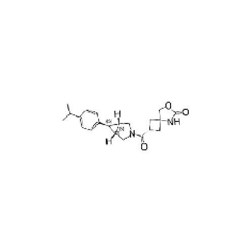 CC(C)c1ccc([C@H]2[C@@H]3CN(C(=O)[C@H]4C[C@]5(COC(=O)N5)C4)C[C@@H]32)cc1